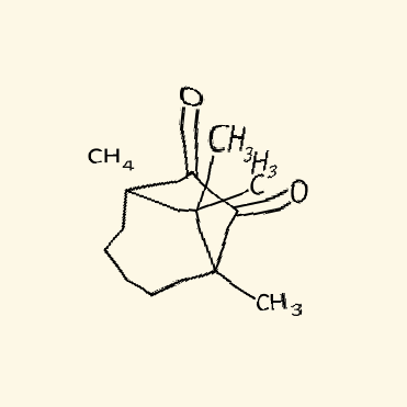 C.CC12CCC(C(=O)C1=O)C2(C)C